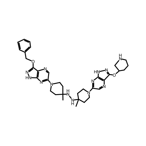 CC1(NNC2(C)CCN(c3cnc4c(OC5CCCNC5)n[nH]c4n3)CC2)CCN(c2cnc3c(OCc4ccccc4)n[nH]c3n2)CC1